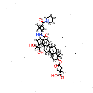 CC(C)(CC(=O)O[C@H]1CC[C@]2(C)[C@H]3CC[C@@H]4[C@H]5[C@H](C(C)(O)CO)CC[C@]5(C(=O)N[C@@H]5C[C@H](C(=O)N6CCCCC6)C5(C)C)CC[C@@]4(C)[C@]3(C)CC[C@H]2C1(C)C)C(=O)O